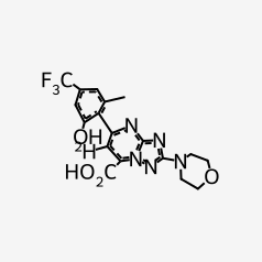 [2H]c1c(-c2c(C)cc(C(F)(F)F)cc2O)nc2nc(N3CCOCC3)nn2c1C(=O)O